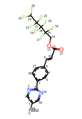 CCCCc1cnc(-c2ccc(C=CC(=O)OCC(F)(F)C(F)(F)C(F)(F)C(F)F)cc2)nc1